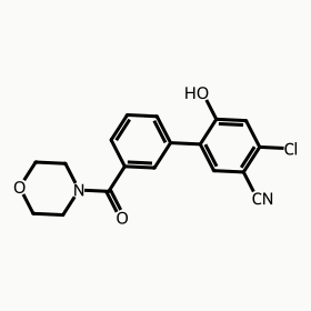 N#Cc1cc(-c2cccc(C(=O)N3CCOCC3)c2)c(O)cc1Cl